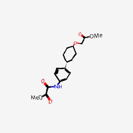 COC(=O)CO[C@H]1CC[C@H](c2ccc(NC(=O)C(=O)OC)cc2)CC1